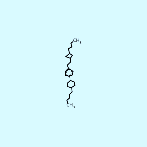 CCCCC[C@H]1CC[C@H](c2ccc(CCC3CC(CCCC)C3)cc2)CC1